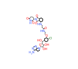 Nc1ncnc2c1ccn2[C@@H]1O[C@H]([C@H](O)c2ccc(Cl)c(OCCNC(=O)CCNc3cccc4c3C(=O)N(C3CCC(=O)NC3=O)C4=O)c2)[C@@H](O)[C@H]1O